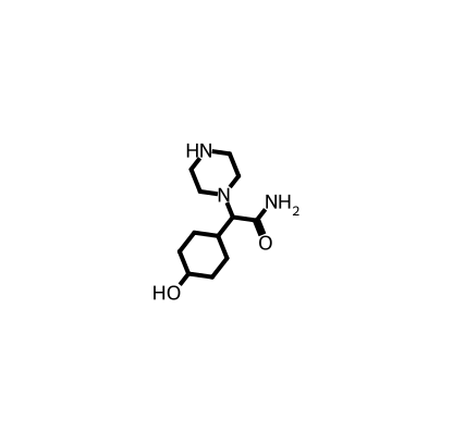 NC(=O)C(C1CCC(O)CC1)N1CCNCC1